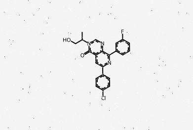 CC(CO)n1cnc2c(-c3cccc(F)c3)nc(-c3ccc(Cl)cc3)cc2c1=O